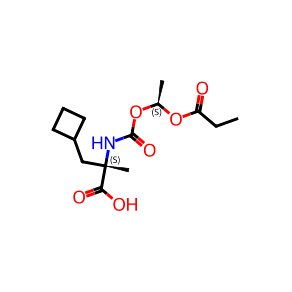 CCC(=O)O[C@H](C)OC(=O)N[C@@](C)(CC1CCC1)C(=O)O